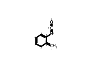 C=C1CC=CC=C1N=C=O